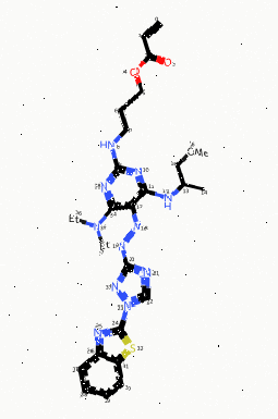 C=CC(=O)OCCCNc1nc(NC(C)COC)c(N=Nc2ncn(-c3nc4ccccc4s3)n2)c(N(CC)CC)n1